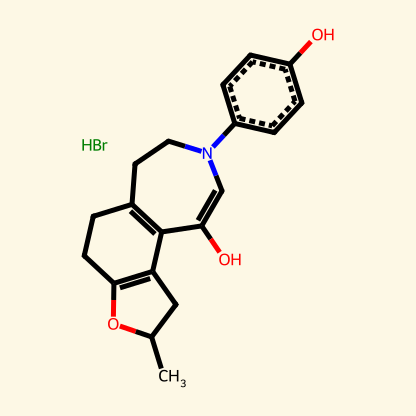 Br.CC1CC2=C(CCC3=C2C(O)=CN(c2ccc(O)cc2)CC3)O1